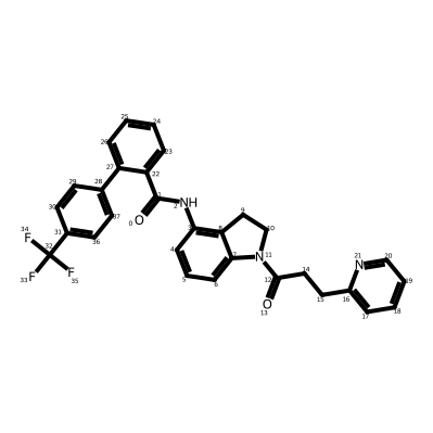 O=C(Nc1cccc2c1CCN2C(=O)CCc1ccccn1)c1ccccc1-c1ccc(C(F)(F)F)cc1